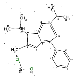 CC1=Cc2c(-c3ccccc3)cc(C(C)C)cc2C1[SiH](C)C.[Cl][Zr][Cl]